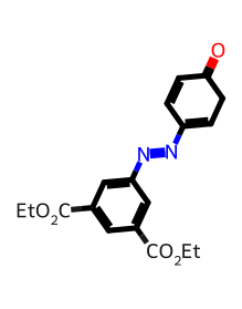 CCOC(=O)c1cc(N=NC2=CCC(=O)C=C2)cc(C(=O)OCC)c1